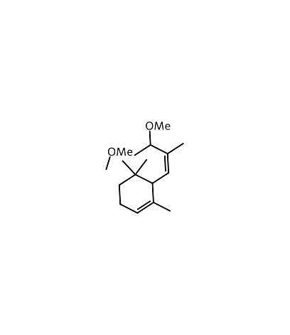 COC.COC(C)C(C)=CC1C(C)=CCCC1(C)C